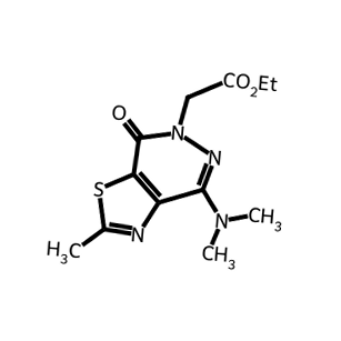 CCOC(=O)Cn1nc(N(C)C)c2nc(C)sc2c1=O